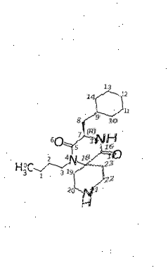 CCCCN1C(=O)[C@@H](CC2CCCCC2)NC(=O)C12CCNCC2